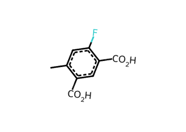 Cc1cc(F)c(C(=O)O)cc1C(=O)O